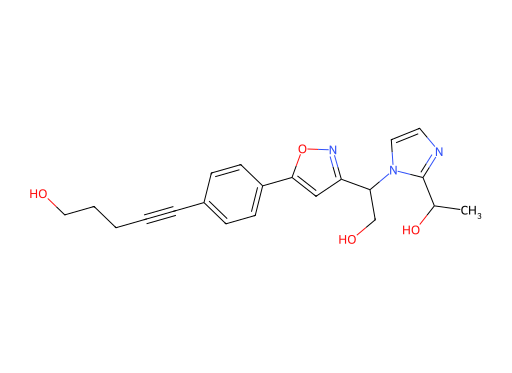 CC(O)c1nccn1C(CO)c1cc(-c2ccc(C#CCCCO)cc2)on1